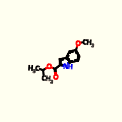 COc1ccc2[nH]c(C(=O)OC(C)C)cc2c1